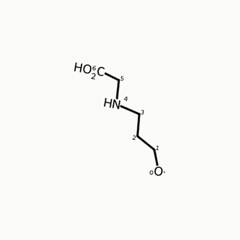 [O]CCCNCC(=O)O